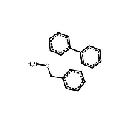 [SiH3]OCc1ccccc1.c1ccc(-c2ccccc2)cc1